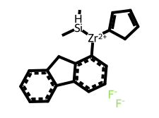 C[SiH](C)[Zr+2]([C]1=CC=CC1)[c]1cccc2c1Cc1ccccc1-2.[F-].[F-]